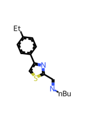 CCCC/N=C/c1nc(-c2ccc(CC)cc2)cs1